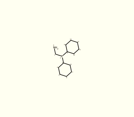 NCP(C1CCCCC1)C1CCCCC1